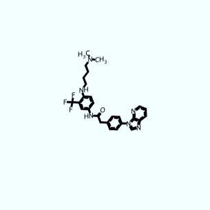 CN(C)CCCCNc1ccc(NC(=O)Cc2ccc(-n3cnc4cccnc43)cc2)cc1C(F)(F)F